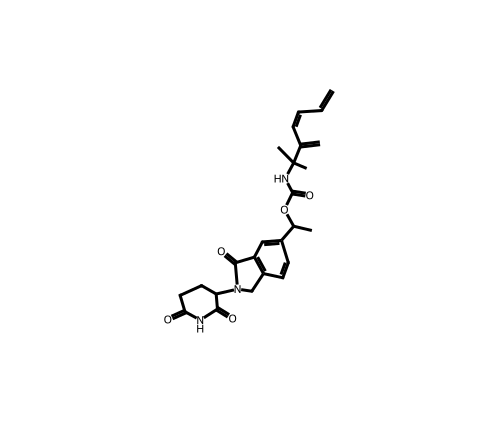 C=C/C=C\C(=C)C(C)(C)NC(=O)OC(C)c1ccc2c(c1)C(=O)N(C1CCC(=O)NC1=O)C2